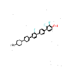 CCCC1CCC(C2CC=C(c3ccc(-c4ccc(-c5ccc(O)c(F)c5F)cc4)c(F)c3)CC2)CC1